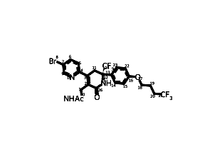 CC(=O)NCC1=C(c2ccc(Br)cn2)C[C@](c2ccc(OCCCC(F)(F)F)cc2)(C(F)(F)F)NC1=O